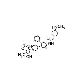 CN[C@H]1CC[C@H](CC(=O)Nc2cc(-c3ccccc3)c(-c3ccc([C@]4(NC(=O)O)C[C@@](C)(O)C4)cc3)cn2)CC1